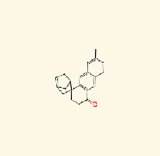 Cc1ccc2cc3c(cc2c1)C1(CCC3=O)CC2=CCC1C2